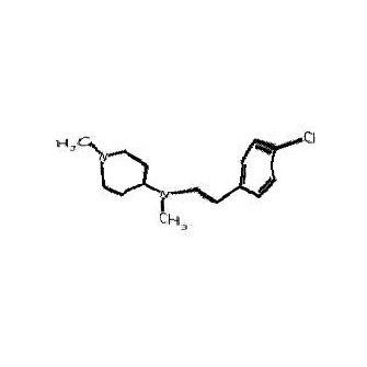 CN1CCC(N(C)CCc2ccc(Cl)cc2)CC1